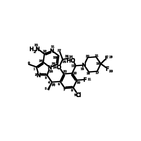 Cc1nc([C@H](C)c2cc(Cl)c(F)c(C(O)N3CCC(F)(F)CC3)c2OC(C)C)n2ccnc(N)c12